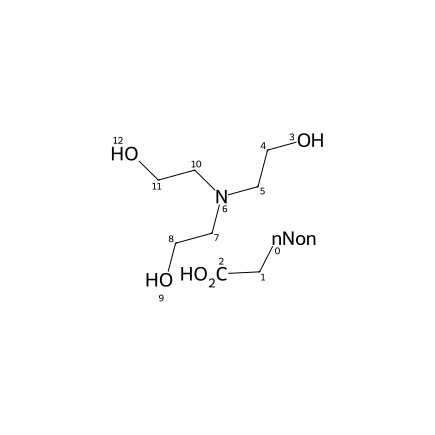 CCCCCCCCCCC(=O)O.OCCN(CCO)CCO